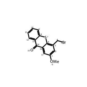 COc1cc(CBr)c2sc3ccccc3c(=O)c2c1